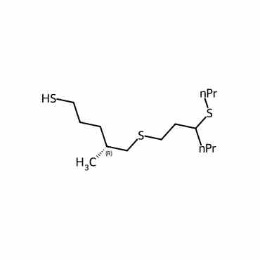 CCCSC(CCC)CCSC[C@H](C)CCCS